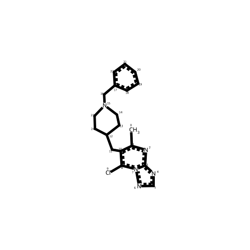 Cc1nc2ncnn2c(Cl)c1CC1CCN(Cc2ccccc2)CC1